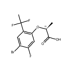 C[C@H](Oc1cc(F)c(Br)cc1C(C)(F)F)C(=O)O